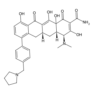 CN(C)[C@@H]1C(O)=C(C(N)=O)C(=O)C2(O)C(O)=C3C(=O)c4c(O)ccc(-c5ccc(CN6CCCC6)cc5)c4C[C@H]3C[C@@H]12